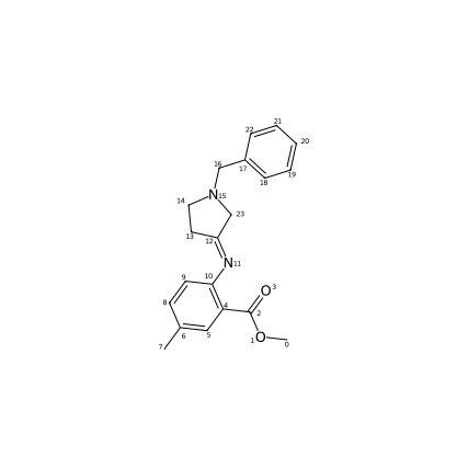 COC(=O)c1cc(C)ccc1/N=C1\CCN(Cc2ccccc2)C1